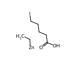 C[CH2][Zn].O=C(O)CCCCI